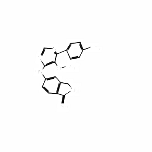 COc1c(Nc2ccc3c(c2)CNC3=N)ncnc1-c1ccc(C)cc1